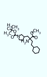 COC(=O)C(N)(CCC1CCCCC1)CC1CCN(C(=O)OC(C)(C)C)C1